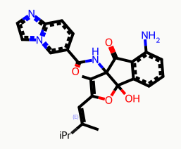 CC1=C(/C=C(\C)C(C)C)OC2(O)c3cccc(N)c3C(=O)C12NC(=O)c1ccc2nccn2c1